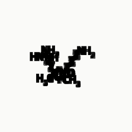 C[C@H]1CN(C)[C@@H](CCCNC(=N)N)CN1C(=O)CCCCCN